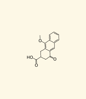 COc1c2c(cc3ccccc13)C(=O)CC(C(=O)O)C2